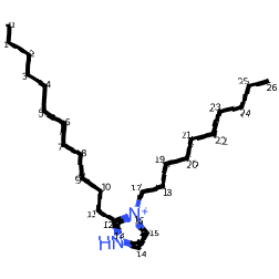 CCCCCCCCCCCCc1[nH]cc[n+]1CCCCCCCCCC